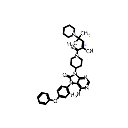 CC(C)(/C=C(/C#N)C(=O)N1CCC(n2c(=O)n(-c3ccc(Oc4ccccc4)cc3)c3c(N)ncnc32)CC1)N1CCCCC1